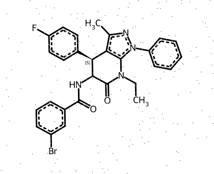 CCN1C(=O)C(NC(=O)c2cccc(Br)c2)[C@@H](c2ccc(F)cc2)c2c(C)nn(-c3ccccc3)c21